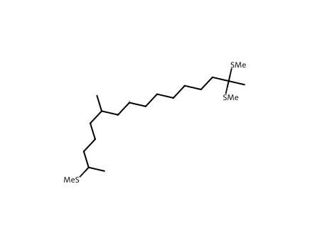 CSC(C)CCCC(C)C[CH]CCCCCCC(C)(SC)SC